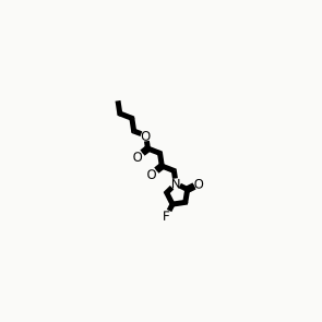 CCCCOC(=O)CC(=O)CN1CC(F)CC1=O